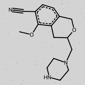 COc1c(C#N)ccc2c1CC(CN1CCNCC1)OC2